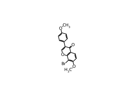 COc1ccc(-c2coc3c(Br)c(OC)ccc3c2=O)cc1